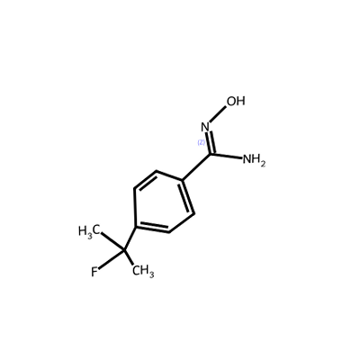 CC(C)(F)c1ccc(/C(N)=N/O)cc1